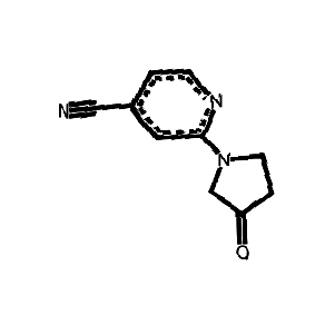 N#Cc1ccnc(N2CCC(=O)C2)c1